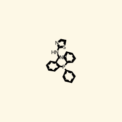 N=C(Nc1nccs1)c1ccccc1P(c1ccccc1)c1ccccc1